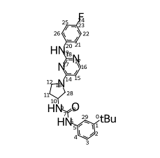 CC(C)(C)c1cccc(NC(=O)NC2CCN(c3ccnc(Nc4ccc(F)cc4)n3)C2)c1